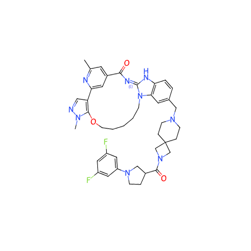 Cc1cc2cc(n1)-c1cnn(C)c1OCCCCCN1/C(=N/C2=O)Nc2ccc(CN3CCC4(CC3)CN(C(=O)C3CCN(c5cc(F)cc(F)c5)C3)C4)cc21